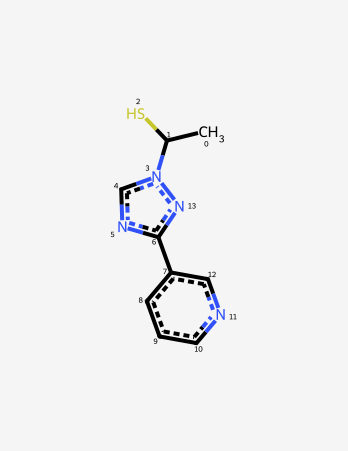 CC(S)n1cnc(-c2cccnc2)n1